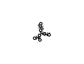 c1ccc(-n2c3ccccc3c3cc(N(c4cc[n+](-c5ccccc5)cc4)c4ccc5c(c4)sc4c6ccccc6sc54)ccc32)cc1